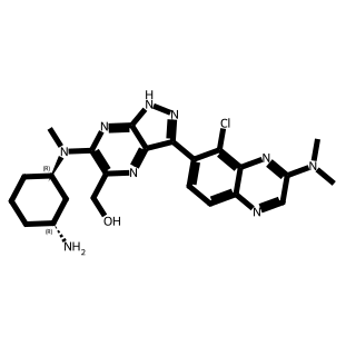 CN(C)c1cnc2ccc(-c3n[nH]c4nc(N(C)[C@@H]5CCC[C@@H](N)C5)c(CO)nc34)c(Cl)c2n1